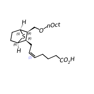 CCCCCCCCOC[C@H]1[C@@H](C/C=C\CCCC(=O)O)[C@H]2CC[C@@H]1S2